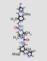 COc1ccc(CNC(=O)N2CC3(C)CN(C(=O)NCc4ccc(OC)c(Cn5cc(I)cn5)c4C)CC(C)(C2)C3)c(C)c1Cn1cc(I)cn1